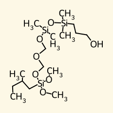 CCC(C)C[Si](OC)(OC)OCOCO[Si](C)(C)O[Si](C)(C)CCCO